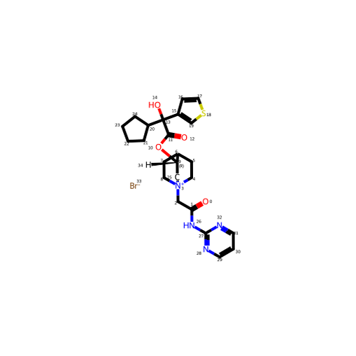 O=C(C[N+]12CCC(CC1)[C@@H](OC(=O)C(O)(c1ccsc1)C1CCCC1)C2)Nc1ncccn1.[Br-]